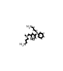 CN(CCCN)CC(O)CC(CO)N(CCCN)C1CCCCC1